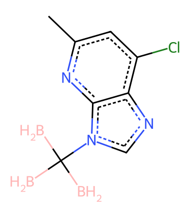 BC(B)(B)n1cnc2c(Cl)cc(C)nc21